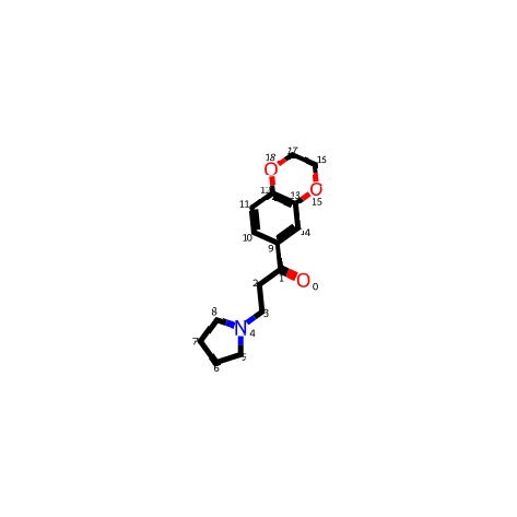 O=C(CCN1CCCC1)c1ccc2c(c1)OCCO2